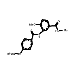 CCCCCOc1ccc(C(=O)Nc2cc(C(=O)NCCCC)ccc2OC)cc1